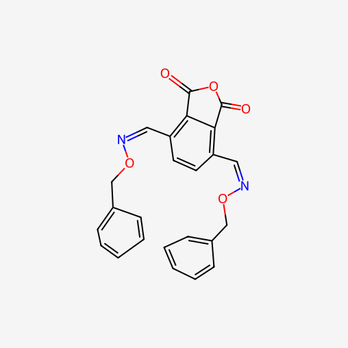 O=C1OC(=O)c2c(/C=N\OCc3ccccc3)ccc(/C=N\OCc3ccccc3)c21